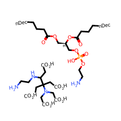 CCCCCCCCCCCCCC(=O)OC[C@H](COP(=O)(O)OCCN)OC(=O)CCCCCCCCCCCCC.NCCNC(CC(=O)O)C(CC(=O)O)(CC(=O)O)N(CC(=O)O)CC(=O)O